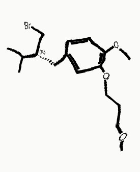 COCCCOc1cc(C[C@@H](CBr)C(C)C)ccc1OC